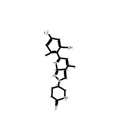 Cc1cc(C(F)(F)F)cc(O)c1-c1cc(C)c2cn(C3CCC(=O)NC3)nc2n1